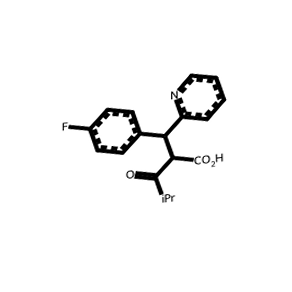 CC(C)C(=O)C(C(=O)O)C(c1ccc(F)cc1)c1ccccn1